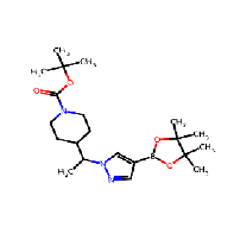 CC(C1CCN(C(=O)OC(C)(C)C)CC1)n1cc(B2OC(C)(C)C(C)(C)O2)cn1